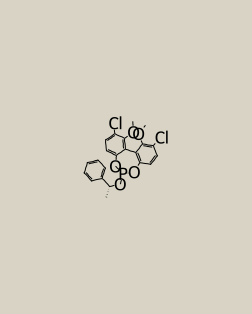 COc1c(Cl)ccc2op(O[C@H](C)c3ccccc3)oc3ccc(Cl)c(OC)c3c12